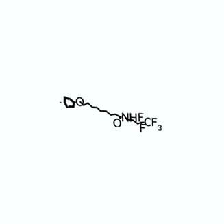 O=C(CCCCCCCCOc1cc[c]cc1)NCCCC(F)(F)C(F)(F)F